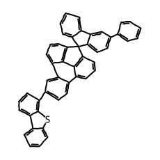 c1ccc(-c2ccc3c(c2)-c2ccccc2C32c3cccc4c5ccc(-c6cccc7c6sc6ccccc67)cc5c5cccc2c5c34)cc1